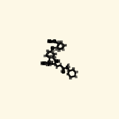 CCCC(CCC(=O)N(C)C1CCCCC1)Nc1cc(Oc2ccccc2OC)ccc1NO